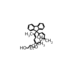 C=C(/C=C\C(=C)C1(/C(C)=C/C=C(\C)OCCO)c2ccccc2-c2ccccc21)OCCOCC